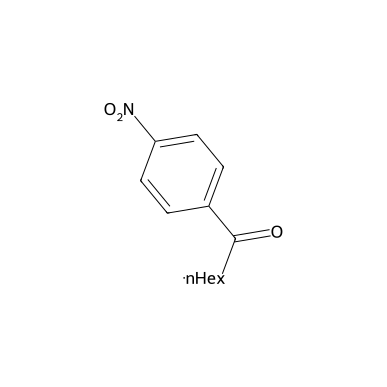 [CH2]CCCC[CH]C(=O)c1ccc([N+](=O)[O-])cc1